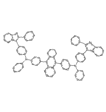 c1ccc(-c2nc3ccccn3c2-c2ccc(N(c3ccccc3)c3ccc(-c4c5ccccc5c(-c5ccc(N(c6ccccc6)c6ccc(-c7c(-c8ccccc8)nc8ccccn78)cc6)cc5)c5ccccc45)cc3)cc2)cc1